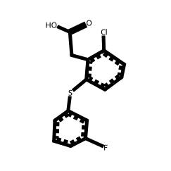 O=C(O)Cc1c(Cl)cccc1Sc1cccc(F)c1